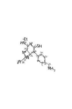 CCNc1nc(S)n(-c2ccc(CN)cc2)c2nc(C(C)C)nc1-2